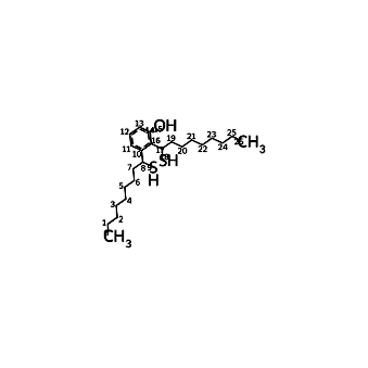 CCCCCCCCC(S)c1cccc(O)c1C(S)CCCCCCCC